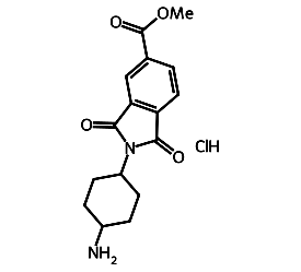 COC(=O)c1ccc2c(c1)C(=O)N(C1CCC(N)CC1)C2=O.Cl